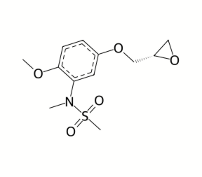 COc1ccc(OC[C@@H]2CO2)cc1N(C)S(C)(=O)=O